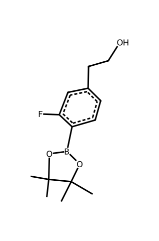 CC1(C)OB(c2ccc(CCO)cc2F)OC1(C)C